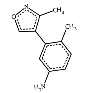 Cc1ccc(N)cc1-c1conc1C